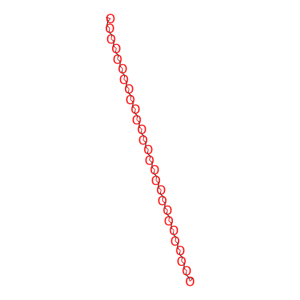 C(COCCOCCOCCOCCOCCOCCOCCOCCOCCOCCOCCOCC1CO1)OCCOCCOCCOCCOCCOCCOCCOCCOCCOCCOCCOCCOCC1CO1